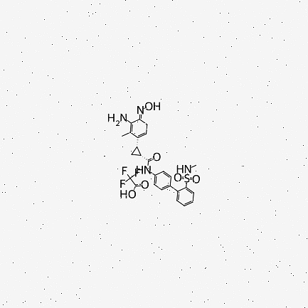 CNS(=O)(=O)c1ccccc1-c1ccc(NC(=O)[C@@H]2C[C@@H]2C2=CCC(=NO)C(N)=C2C)cc1.O=C(O)C(F)(F)F